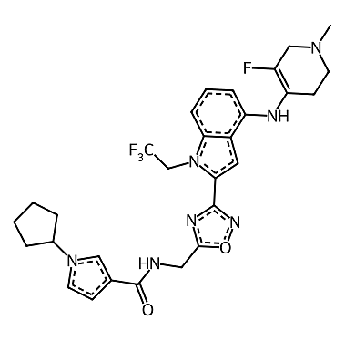 CN1CCC(Nc2cccc3c2cc(-c2noc(CNC(=O)c4ccn(C5CCCC5)c4)n2)n3CC(F)(F)F)=C(F)C1